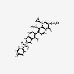 CCOC(=O)c1cn(C2CC2)c2c(OC)c(-c3ccc4c(c3F)CN(S(=O)(=O)c3ccc(C)cc3)C4)ccc2c1=O